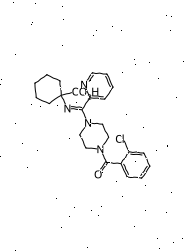 O=C(c1ccccc1Cl)N1CCN(/C(=N/C2(C(=O)O)CCCCC2)c2ccccn2)CC1